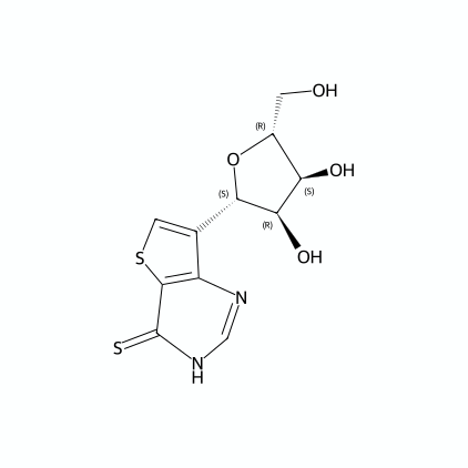 OC[C@H]1O[C@@H](c2csc3c(=S)[nH]cnc23)[C@H](O)[C@@H]1O